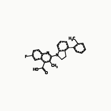 Cc1ccccc1-c1cccc2c1CCN2c1nc2ccc(F)cc2c(C(=O)O)c1C